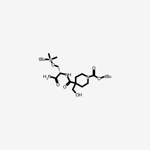 CC(C)(C)OC(=O)N1CCC(CO)(C(=O)N[C@@H](CO[Si](C)(C)C(C)(C)C)C(N)=O)CC1